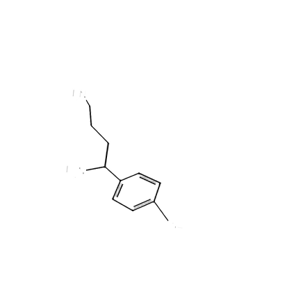 NCCCC(N)c1ccc(O)cc1